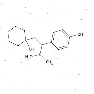 CN(C)C(CC1(O)CCCCC1)c1ccc(O)cc1